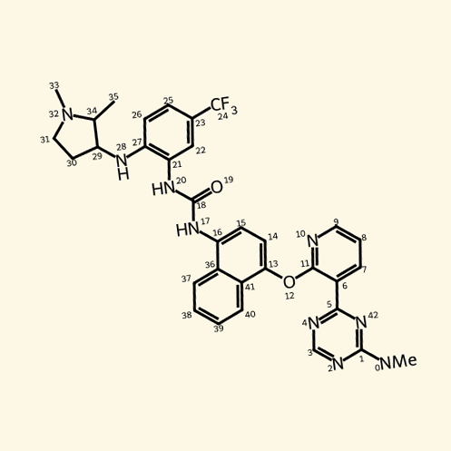 CNc1ncnc(-c2cccnc2Oc2ccc(NC(=O)Nc3cc(C(F)(F)F)ccc3NC3CCN(C)C3C)c3ccccc23)n1